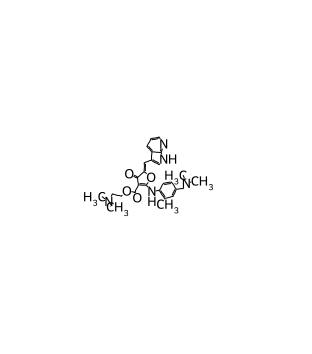 Cc1cc(CN(C)C)ccc1NC1=C(C(=O)OCCN(C)C)C(=O)C(=Cc2c[nH]c3ncccc23)O1